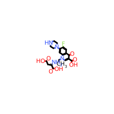 CCn1cc(C(=O)O)c(=O)c2cc(F)c(N3CCNCC3)cc21.N[C@@H](CC(=O)O)C(=O)O